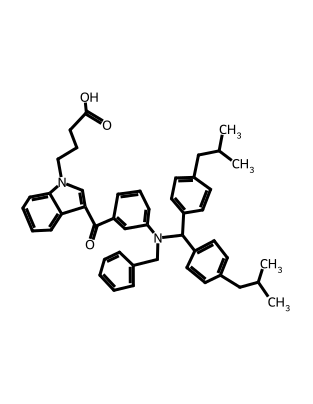 CC(C)Cc1ccc(C(c2ccc(CC(C)C)cc2)N(Cc2ccccc2)c2cccc(C(=O)c3cn(CCCC(=O)O)c4ccccc34)c2)cc1